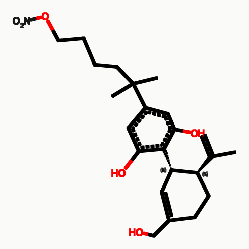 C=C(C)[C@H]1CCC(CO)=C[C@@H]1c1c(O)cc(C(C)(C)CCCCO[N+](=O)[O-])cc1O